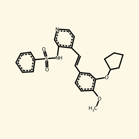 COc1ccc(C=Cc2ccncc2NS(=O)(=O)c2ccccc2)cc1OC1CCCC1